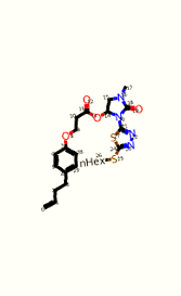 C=CCCc1ccc(OCCC(=O)OC2CN(C)C(=O)N2c2nnc(SCCCCCC)s2)cc1